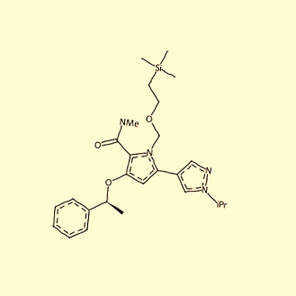 CNC(=O)c1c(O[C@@H](C)c2ccccc2)cc(-c2cnn(C(C)C)c2)n1COCC[Si](C)(C)C